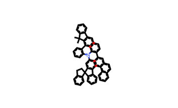 CC1(C)c2ccccc2-c2cccc(-c3ccccc3N(c3ccc4c(c3)C3(CCc5ccccc53)c3ccccc3-4)c3ccccc3-c3ccc4c(ccc5ccccc54)c3)c21